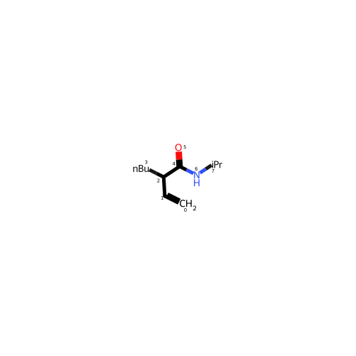 C=CC(CCCC)C(=O)NC(C)C